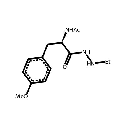 CCNNC(=O)[C@@H](Cc1ccc(OC)cc1)NC(C)=O